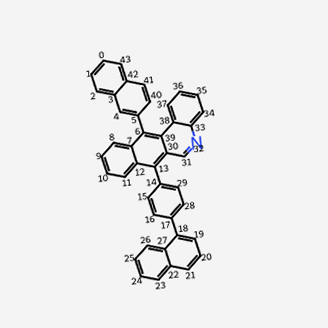 c1ccc2cc(-c3c4ccccc4c(-c4ccc(-c5cccc6ccccc56)cc4)c4cnc5ccccc5c34)ccc2c1